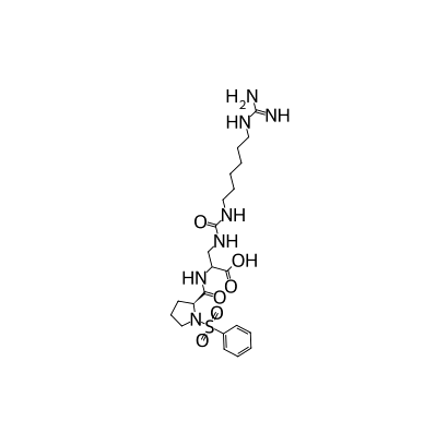 N=C(N)NCCCCCCNC(=O)NCC(NC(=O)[C@@H]1CCCN1S(=O)(=O)c1ccccc1)C(=O)O